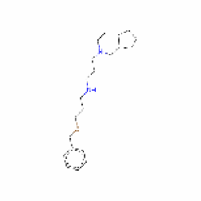 CCN(CCCNCCCSCc1ccccc1)CC1CCCC1